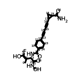 CC(=C(O)F)[C@H](NC(=O)c1ccc(C#CC#CC2CC2C(N)=O)cc1)C(=O)NO